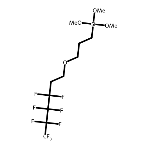 CO[Si](CCCOCCC(F)(F)C(F)(F)C(F)(F)C(F)(F)F)(OC)OC